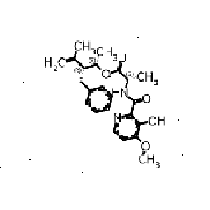 C=C(C)[C@@H](Cc1ccccc1)[C@H](C)OC(=O)[C@H](C)NC(=O)c1nccc(OC)c1O